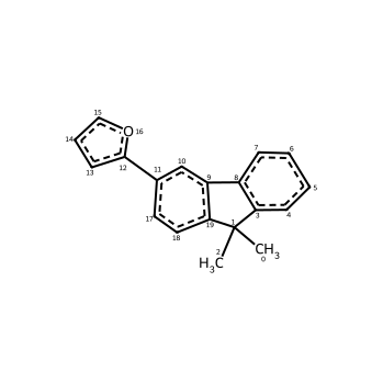 CC1(C)c2ccccc2-c2cc(-c3ccco3)ccc21